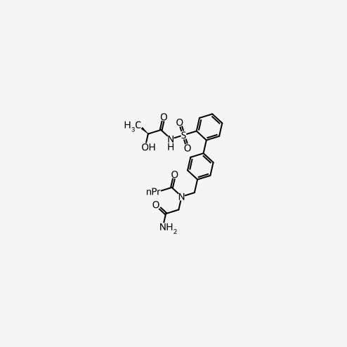 CCCC(=O)N(CC(N)=O)Cc1ccc(-c2ccccc2S(=O)(=O)NC(=O)[C@H](C)O)cc1